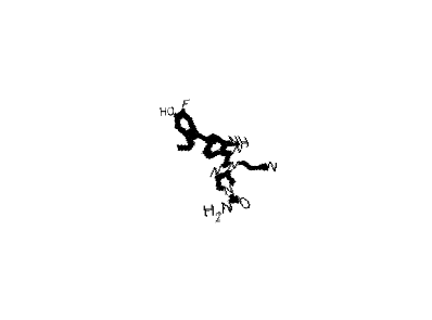 CCc1cc(O)c(F)cc1-c1ccc2c(-c3nc4c(n3CCC#N)CN(C(N)=O)C4)n[nH]c2c1